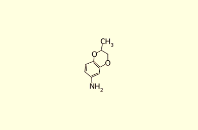 CC1COc2cc(N)ccc2O1